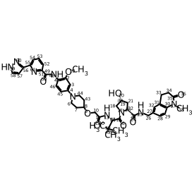 COc1cc(N2CCC(OCC(=O)N[C@H](C(=O)N3C[C@H](O)C[C@H]3C(=O)NCc3ccc4c(c3)CCC(=O)N4C)C(C)(C)C)CC2)ccc1NC(=O)c1cccc(-c2cc[nH]n2)n1